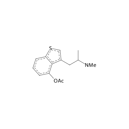 CNC(C)Cc1csc2cccc(OC(C)=O)c12